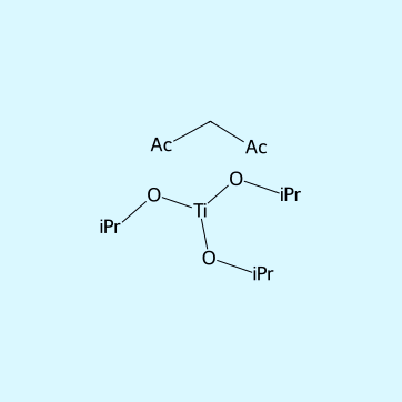 CC(=O)CC(C)=O.CC(C)[O][Ti]([O]C(C)C)[O]C(C)C